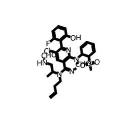 C=CCCN(/C(=N/C)c1cc(Cl)c(-c2c(O)cccc2F)nc1N(C=O)C1C=CC=CC1S(C)(=O)=O)C(C)CNC=O